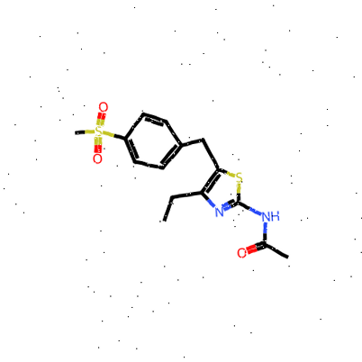 [CH2]Cc1nc(NC(C)=O)sc1Cc1ccc(S(C)(=O)=O)cc1